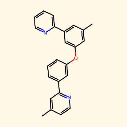 Cc1cc(Oc2cccc(-c3cc(C)ccn3)c2)cc(-c2ccccn2)c1